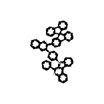 c1ccc(-c2nc3ccccc3c3c4ccccc4n(-c4ccc(-c5cc6ccccc6cc5-c5ccc6c(c5)C5(c7ccccc7-c7ccccc75)c5ccccc5-6)cc4)c23)cc1